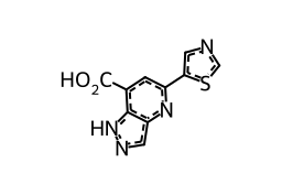 O=C(O)c1cc(-c2cncs2)nc2cn[nH]c12